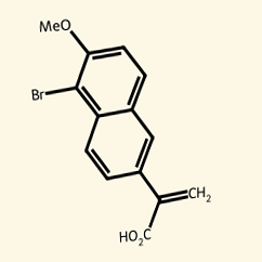 C=C(C(=O)O)c1ccc2c(Br)c(OC)ccc2c1